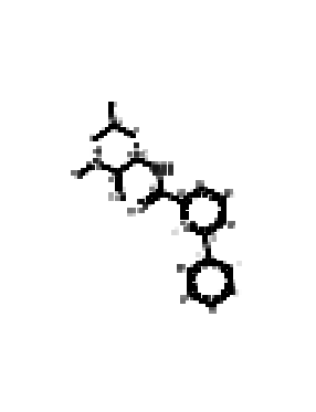 CNC(=O)[C@H](CC(C)C)NC(=O)c1cccc(-c2ccccc2)n1